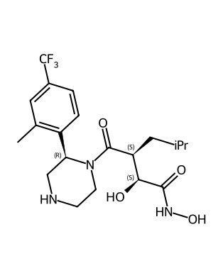 Cc1cc(C(F)(F)F)ccc1[C@@H]1CNCCN1C(=O)[C@@H](CC(C)C)[C@H](O)C(=O)NO